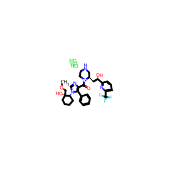 COC[C@]1(O)CCCC[C@H]1n1cnc(C(=O)N2CCNC[C@H]2C[C@H](O)c2cccc(C(F)(F)F)n2)c1-c1ccccc1.Cl.Cl.Cl